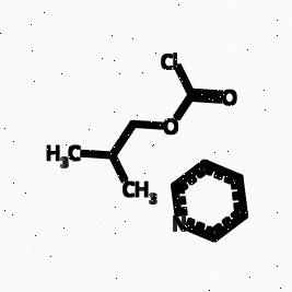 CC(C)COC(=O)Cl.c1ccncc1